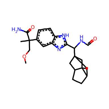 COCC(C)(C(N)=O)c1ccc2[nH]c(C(NC=O)C34CC5CCC(C3)C5(C)C4)nc2c1